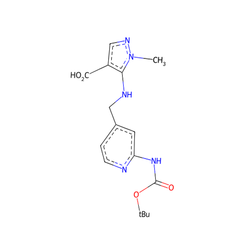 Cn1ncc(C(=O)O)c1NCc1ccnc(NC(=O)OC(C)(C)C)c1